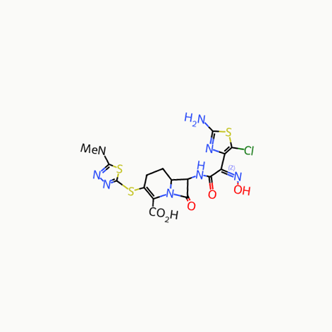 CNc1nnc(SC2=C(C(=O)O)N3C(=O)C(NC(=O)/C(=N\O)c4nc(N)sc4Cl)C3CC2)s1